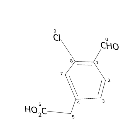 O=Cc1ccc(CC(=O)O)cc1Cl